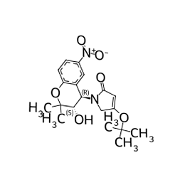 CC(C)(C)OC1=CC(=O)N([C@@H]2c3cc([N+](=O)[O-])ccc3OC(C)(C)[C@H]2O)C1